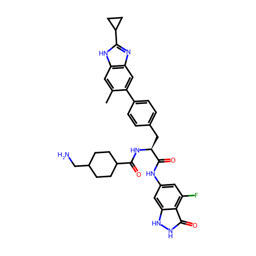 Cc1cc2[nH]c(C3CC3)nc2cc1-c1ccc(C[C@H](NC(=O)C2CCC(CN)CC2)C(=O)Nc2cc(F)c3c(=O)[nH][nH]c3c2)cc1